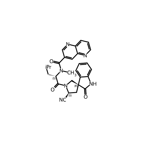 CC(C)C[C@@H](C(=O)N1C[C@]2(C[C@H]1C#N)C(=O)Nc1ccccc12)N(C)C(=O)c1cnc2cccnc2c1